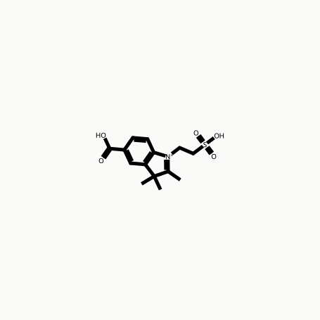 CC1=[N+](CCS(=O)(=O)O)c2ccc(C(=O)O)cc2C1(C)C